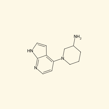 NC1CCCN(c2ccnc3[nH]ccc23)C1